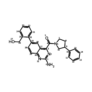 Nc1nc(C(=O)N2CCC(c3ccccc3)C2)c2cc(-c3ccccc3CO)ccc2n1